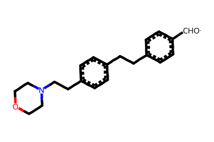 O=[C]c1ccc(CCc2ccc(CCN3CCOCC3)cc2)cc1